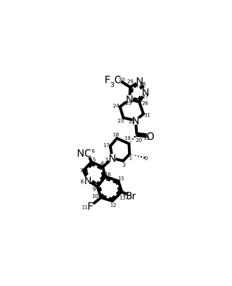 C[C@@H]1CN(c2c(C#N)cnc3c(F)cc(Br)cc23)CC[C@@H]1C(=O)N1CCn2c(nnc2C(F)(F)F)C1